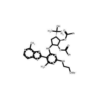 COCCNc1nc(C)c(-c2nc3c(C)nccc3s2)c(NC2C[C@H](C(C)(C)O)[C@@H](OC(=O)C(C)C)[C@H]2OC(=O)C(C)C)n1